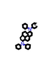 c1ccc(N(C2=c3ccc4ccc(N(c5ccccc5)c5ccccc5)c5ccc(c3c45)CC2)c2ccccc2)cc1